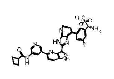 CS(=O)(=O)C(N)c1cc(F)cc(-c2ccnc3[nH]c(-c4n[nH]c5ccc(-c6cncc(NC(=O)C7CCC7)c6)nc45)nc23)c1